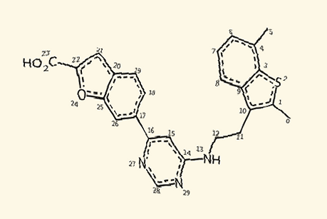 Cc1sc2c(C)cccc2c1CCNc1cc(-c2ccc3cc(C(=O)O)oc3c2)ncn1